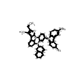 C=Cc1oc2c(c1C)-c1cccc3c1B2c1ccc(-n2c4ccc(CC)cc4c4cc(C(C)(C)C)ccc42)cc1N3c1ccc2ccccc2c1